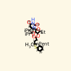 CCCCCC(C)(CCC(=O)O[C@@H]1C(O[Si](C(C)C)(C(C)C)C(C)C)[C@H](n2ccc(=O)[nH]c2=O)O[C@@H]1CC)Sc1ccccc1